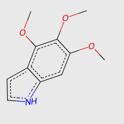 COc1cc2[nH]ccc2c(OC)c1OC